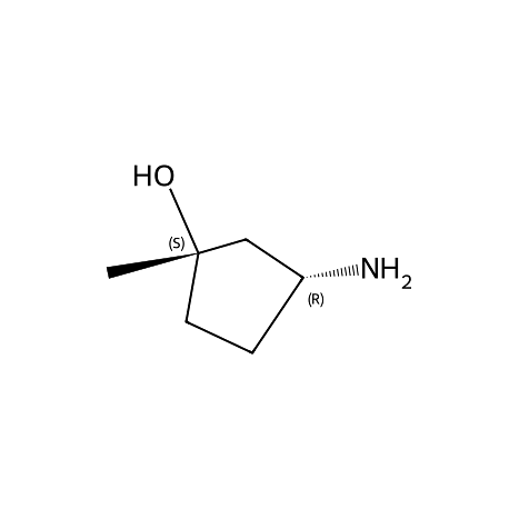 C[C@]1(O)CC[C@@H](N)C1